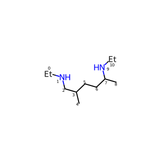 CCNCC(C)CCC(C)NCC